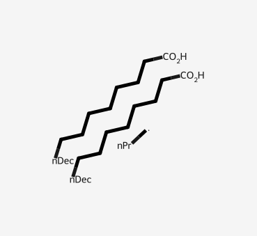 CCCCCCCCCCCCCCCCCC(=O)O.CCCCCCCCCCCCCCCCCC(=O)O.[CH2]CCC